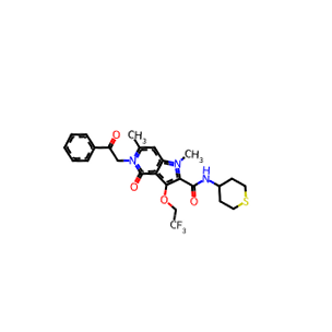 Cc1cc2c(c(OCC(F)(F)F)c(C(=O)NC3CCSCC3)n2C)c(=O)n1CC(=O)c1ccccc1